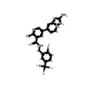 Nc1nc2cc(-c3cnc(Cl)c(C(=O)NCc4cc(C(F)(F)F)ccc4F)c3)ccn2n1